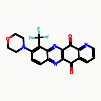 O=C1c2cccnc2C(=O)c2nc3c(C(F)(F)F)c(N4CCOCC4)ccc3nc21